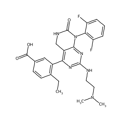 CCc1ccc(C(=O)O)cc1-c1nc(NCCN(C)C)nc2c1CNC(=O)N2c1c(F)cccc1F